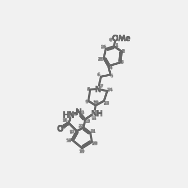 COc1ccc(CCN2CCC(Nc3n[nH]c(=O)c4ccccc34)CC2)cc1